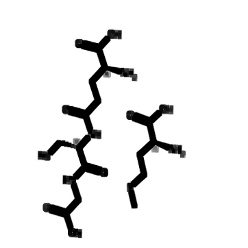 CSCC[C@H](N)C(=O)O.N[C@@H](CCC(=O)N[C@@H](CS)C(=O)NCC(=O)O)C(=O)O